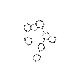 c1ccc(-c2ccc(-c3nc(-c4cccc5c4Cc4c(-c6ccccc6)cccc4-5)nc4ccccc34)cc2)cc1